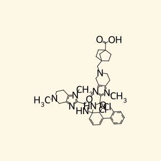 CN1CCc2c(nc(C(=O)NC3(NC(=O)c4nc5c(n4C)CCN(CC46CCC(C(=O)O)(CC4)C6)C5)C=CC=C(c4ccccc4Cl)C3Cl)n2C)C1